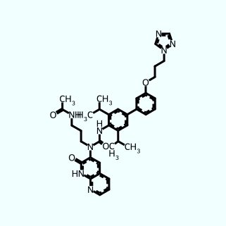 CC(=O)NCCCN(C(=O)Nc1c(C(C)C)cc(-c2cccc(OCCCn3cncn3)c2)cc1C(C)C)c1cc2cccnc2[nH]c1=O